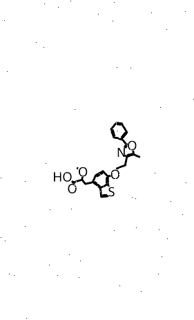 COC(Cc1ccc(OCCc2nc(-c3ccccc3)oc2C)c2sccc12)C(=O)O